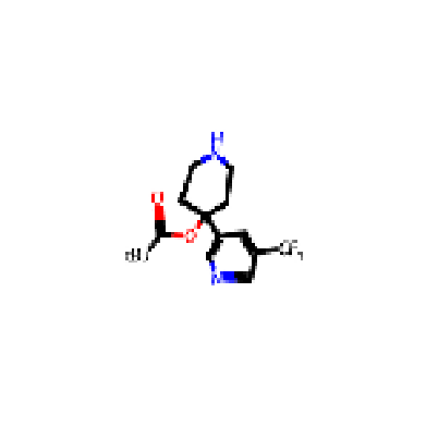 CC(C)(C)C(=O)OC1(c2cncc(C(F)(F)F)c2)CCNCC1